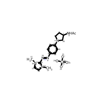 CC(=O)NC1CCN(c2ccc(/N=N/c3n(C)cc[n+]3C)cc2)C1.[O-][Cl+3]([O-])([O-])[O-]